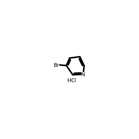 Brc1cccnc1.Cl